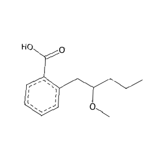 CCCC(Cc1ccccc1C(=O)O)OC